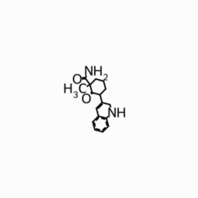 CC1(C(N)=O)CCCC(C2=Cc3ccccc3NC2)C1=O